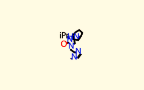 CC(C)N1C(=O)N(Cc2nccn2C)CC12CC1CCC(C2)N1